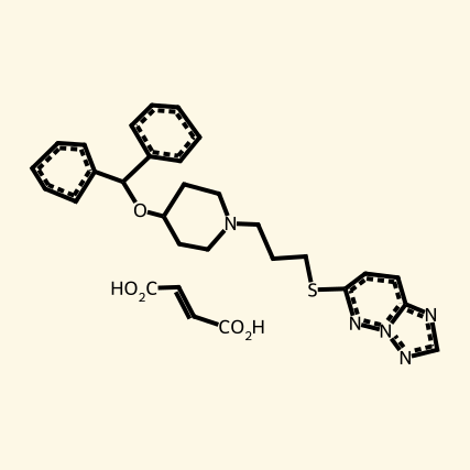 O=C(O)C=CC(=O)O.c1ccc(C(OC2CCN(CCCSc3ccc4ncnn4n3)CC2)c2ccccc2)cc1